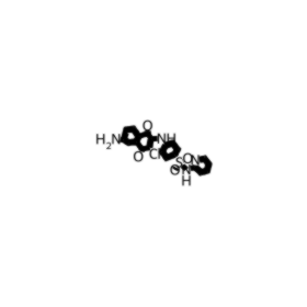 Nc1ccc2c(c1)C(=O)C(Cl)=C(Nc1ccc(S(=O)(=O)Nc3ccccn3)cc1)C2=O